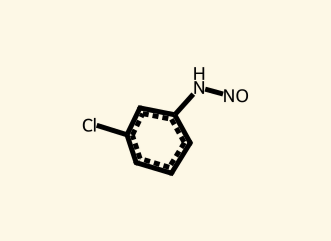 O=NNc1cccc(Cl)c1